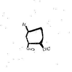 CC(=O)C1CCC(C=O)C(C=O)C1